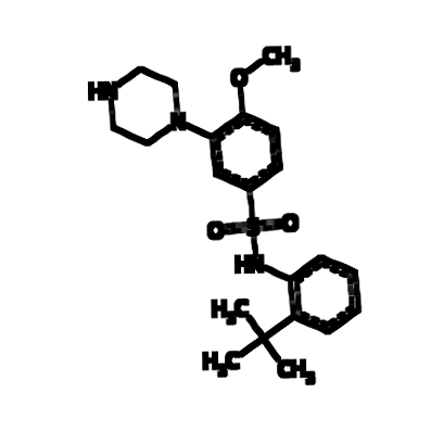 COc1ccc(S(=O)(=O)Nc2ccccc2C(C)(C)C)cc1N1CCNCC1